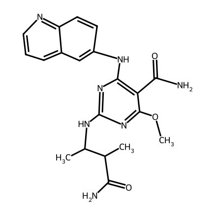 COc1nc(NC(C)C(C)C(N)=O)nc(Nc2ccc3ncccc3c2)c1C(N)=O